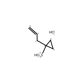 C=CCC1(S(=O)(=O)O)CC1.Cl